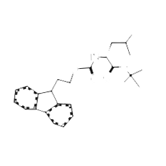 CC(C)C[C@H](NC(=O)OCCC1c2ccccc2-c2ccccc21)C(=O)OC(C)(C)C